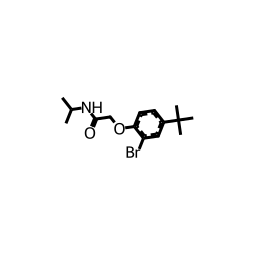 CC(C)NC(=O)COc1ccc(C(C)(C)C)cc1Br